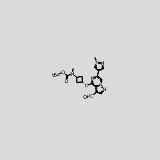 Cn1cc(-c2cn3ncc(C=O)c3c(O[C@H]3C[C@H](N(C)C(=O)OC(C)(C)C)C3)n2)cn1